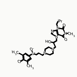 Cc1cc([S+]([O-])CCCN2CCN(CC(O)Cn3cnc4c3c(=O)n(C)c(=O)n4CC(C)C)CC2)cc(C)c1Cl